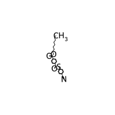 CCCCCCCCOC(=O)c1ccc(C(=O)Sc2ccc(C#N)cc2)cc1